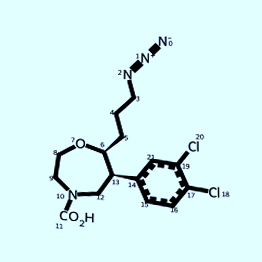 [N-]=[N+]=NCCC[C@@H]1OCCN(C(=O)O)C[C@@H]1c1ccc(Cl)c(Cl)c1